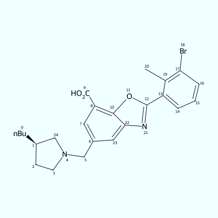 CCCC[C@@H]1CCN(Cc2cc(C(=O)O)c3oc(-c4cccc(Br)c4C)nc3c2)C1